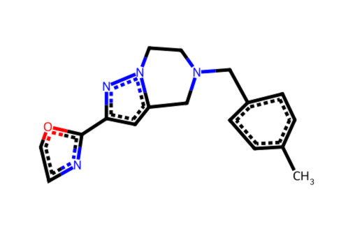 Cc1ccc(CN2CCn3nc(-c4ncco4)cc3C2)cc1